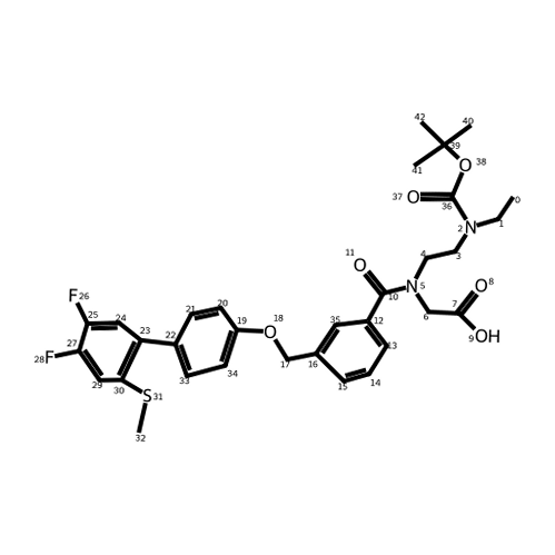 CCN(CCN(CC(=O)O)C(=O)c1cccc(COc2ccc(-c3cc(F)c(F)cc3SC)cc2)c1)C(=O)OC(C)(C)C